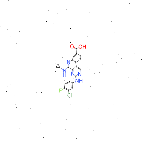 O=C(O)c1ccc2c(c1)nc(NC1CC1)c1nc(Nc3ccc(F)c(Cl)c3)ncc12